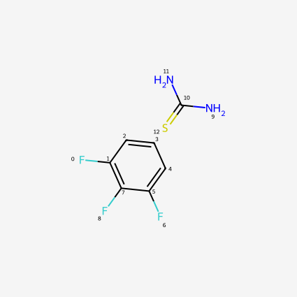 Fc1cccc(F)c1F.NC(N)=S